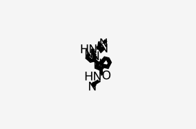 Cn1cc(Nc2nccc(-n3cc(C(=O)NCC#N)c4ccccc43)n2)cn1